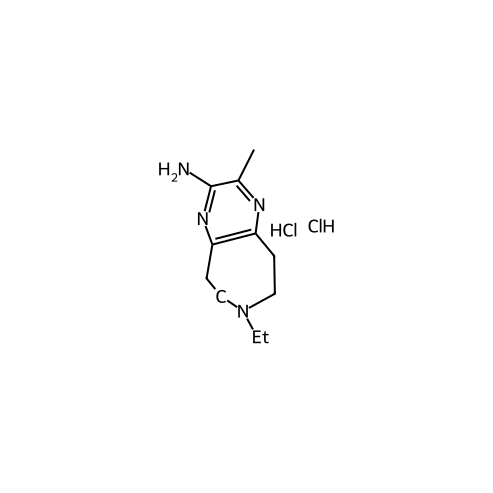 CCN1CCc2nc(C)c(N)nc2CC1.Cl.Cl